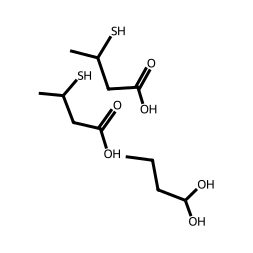 CC(S)CC(=O)O.CC(S)CC(=O)O.CCCC(O)O